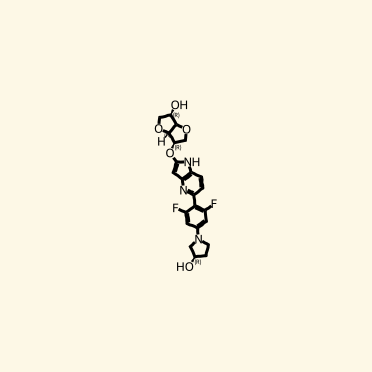 O[C@@H]1CCN(c2cc(F)c(-c3ccc4[nH]c(O[C@@H]5COC6[C@H](O)CO[C@@H]65)cc4n3)c(F)c2)C1